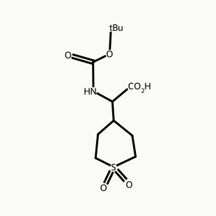 CC(C)(C)OC(=O)NC(C(=O)O)C1CCS(=O)(=O)CC1